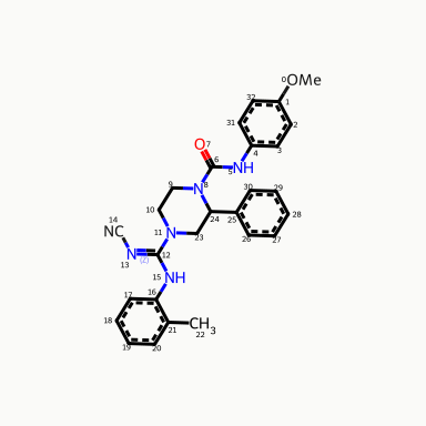 COc1ccc(NC(=O)N2CCN(/C(=N\C#N)Nc3ccccc3C)CC2c2ccccc2)cc1